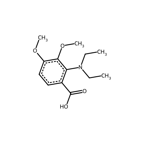 CCN(CC)c1c(C(=O)O)ccc(OC)c1OC